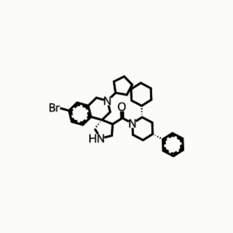 O=C(C1CNC[C@]12CN(C1CCCC1)Cc1cc(Br)ccc12)N1CC[C@@H](c2ccccc2)C[C@H]1C1CCCCC1